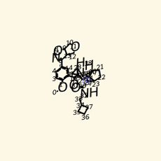 COc1ccc(C2=NOC3COCC23)cc1C(=O)N[C@@H]1[C@@H]2CCC(/C2=C/C2CC2)[C@@H]1C(=O)NCC1CCC1